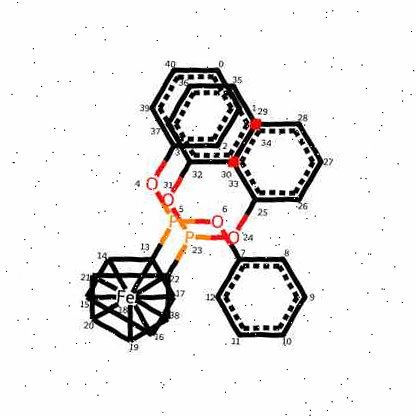 c1ccc(OP(Oc2ccccc2)[C]23[CH]4[CH]5[CH]6[CH]2[Fe]56432789[CH]3[CH]2[CH]7[C]8(P(Oc2ccccc2)Oc2ccccc2)[CH]39)cc1